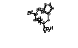 CCN(CC)CC.N[C@@H](Cc1ccc[te]1)C(=O)O